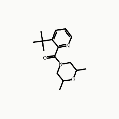 CC1CN(C(=O)c2ncccc2C(C)(C)C)CC(C)O1